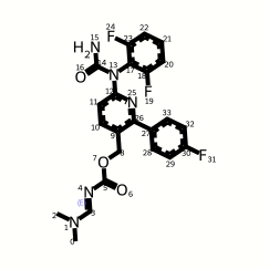 CN(C)/C=N/C(=O)OCc1ccc(N(C(N)=O)c2c(F)cccc2F)nc1-c1ccc(F)cc1